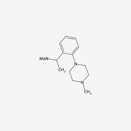 CNC(C)c1ccccc1N1CCN(C)CC1